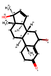 C[C@]12CCC(=O)C=C1C(Br)C[C@@H]1[C@@H]2CC[C@@]2(C)[C@H]1C=C[C@]2(C)O